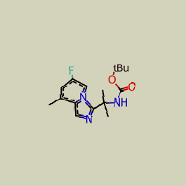 Cc1cc(F)cn2c(C(C)(C)NC(=O)OC(C)(C)C)ncc12